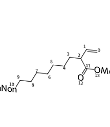 C=CC(CCCCCCCCCCCCCCCC)C(=O)OC